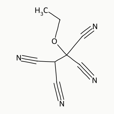 CCOC(C#N)(C#N)C(C#N)C#N